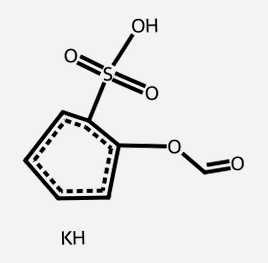 O=COc1ccccc1S(=O)(=O)O.[KH]